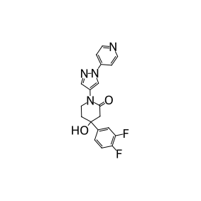 O=C1CC(O)(c2ccc(F)c(F)c2)CCN1c1cnn(-c2ccncc2)c1